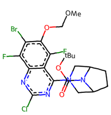 COCOc1c(Br)c(F)c2nc(Cl)nc(N3CC4CCC(C3)N4C(=O)OC(C)(C)C)c2c1F